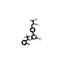 Nc1nc(OC(c2ccccc2Br)C(F)(F)F)cc(-c2ccc(C[C@H](N)C(=O)O)cc2)n1